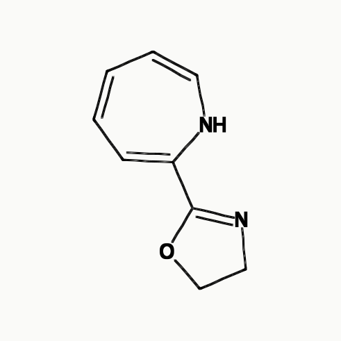 C1=CC=C(C2=NCCO2)NC=C1